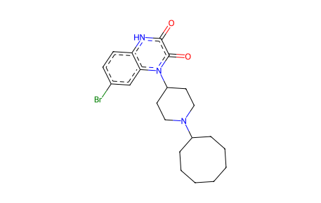 O=c1[nH]c2ccc(Br)cc2n(C2CCN(C3CCCCCCC3)CC2)c1=O